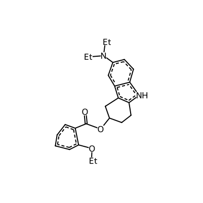 CCOc1ccccc1C(=O)OC1CCc2[nH]c3ccc(N(CC)CC)cc3c2C1